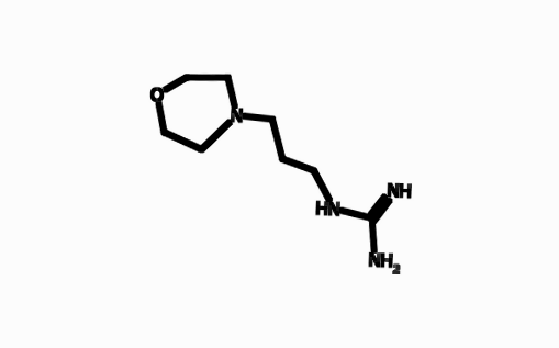 N=C(N)NCCCN1CCOCC1